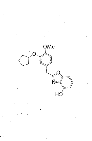 COc1ccc(Cc2nc3c(O)cccc3o2)cc1OC1CCCC1